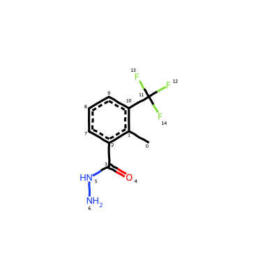 Cc1c(C(=O)NN)cccc1C(F)(F)F